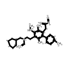 C=CN(CCc1c(C)c(-c2ccc(C)cc2)c(CC(=O)N=O)c(C)c1NC)CC1CCCCC1